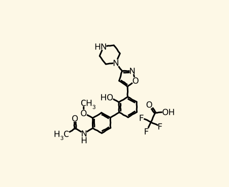 COc1cc(-c2cccc(-c3cc(N4CCNCC4)no3)c2O)ccc1NC(C)=O.O=C(O)C(F)(F)F